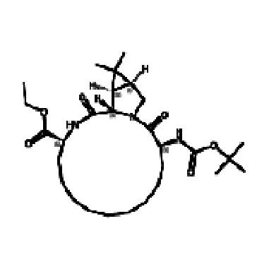 CCOC(=O)[C@@H]1CCCCCCCCC[C@H](NC(=O)OC(C)(C)C)C(=O)N2C[C@H]3[C@@H]([C@H]2C(=O)N1)C3(C)C